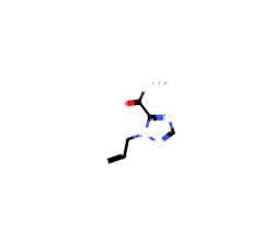 C=CCn1ncnc1C(=O)OC